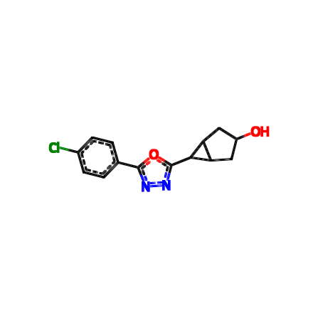 OC1CC2C(C1)C2c1nnc(-c2ccc(Cl)cc2)o1